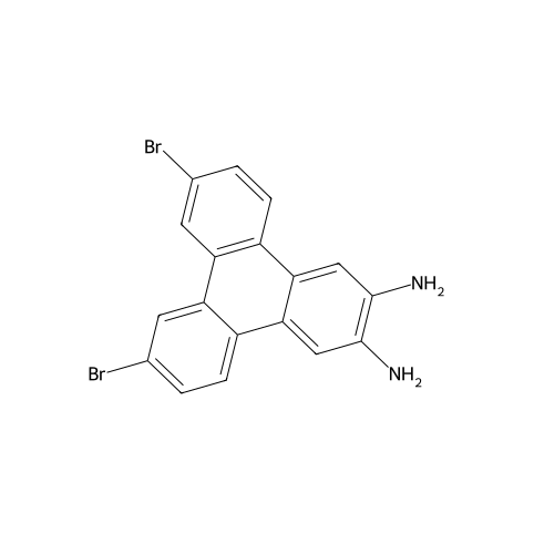 Nc1cc2c3ccc(Br)cc3c3cc(Br)ccc3c2cc1N